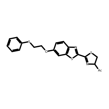 CC(=O)C1CSC(c2nc3ccc(OCCSc4ccccc4)cc3s2)=N1